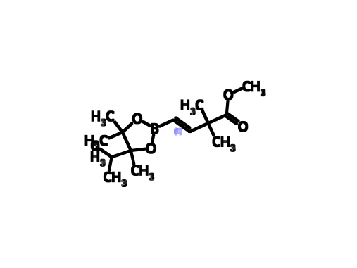 COC(=O)C(C)(C)/C=C/B1OC(C)(C)C(C)(C(C)C)O1